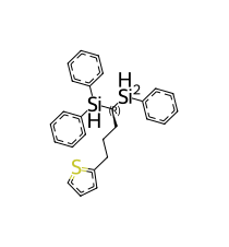 c1ccc([SiH2][C@@H](CCCc2cccs2)[SiH](c2ccccc2)c2ccccc2)cc1